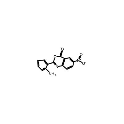 Cc1ccccc1-c1nc2ccc([N+](=O)[O-])cc2c(=O)o1